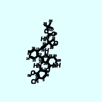 COc1c(Cl)cccc1Nc1c(-c2ccncc2C#CC2(NC(=O)OC(C)(C)C)COC2)[nH]c2c1C(=O)NCC2